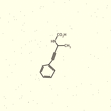 CC(C#Cc1ccccc1)NC(=O)O